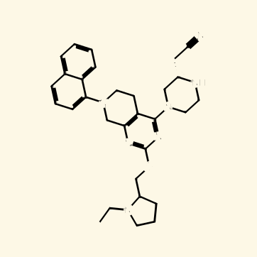 CCN1CCCC1COc1nc2c(c(N3CCN[C@@H](CC#N)C3)n1)CCN(c1cccc3ccccc13)C2